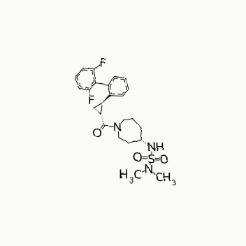 CN(C)S(=O)(=O)N[C@H]1CCCN(C(=O)[C@@H]2C[C@H]2c2ccccc2-c2c(F)cccc2F)CC1